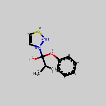 CC(C)C(O)(Oc1ccccc1)N1C=CSN1